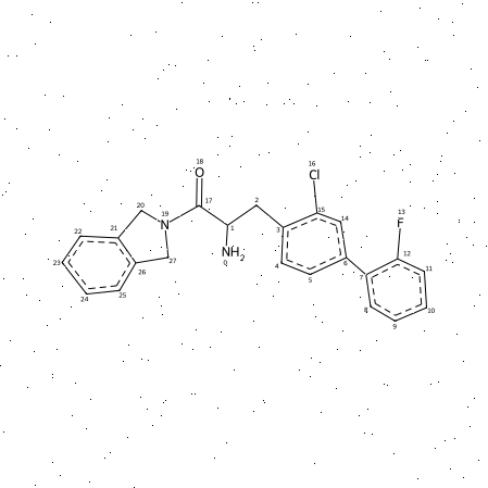 NC(Cc1ccc(-c2ccccc2F)cc1Cl)C(=O)N1Cc2ccccc2C1